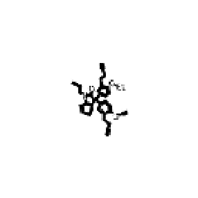 C#CCCc1cc(C2(c3ccc(OCC)c(CCC#C)c3)C(=O)N(CC=C)c3ccccc32)ccc1OC#C